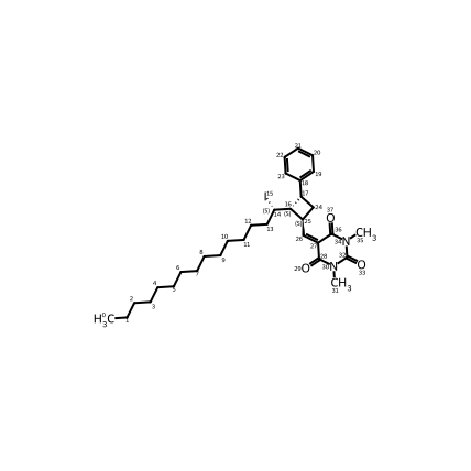 CCCCCCCCCCCCCC[C@H](I)[C@@H]1C(c2ccccc2)C[C@H]1C=C1C(=O)N(C)C(=O)N(C)C1=O